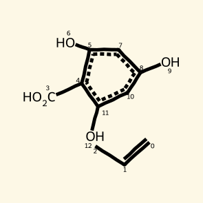 C=CC.O=C(O)c1c(O)cc(O)cc1O